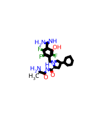 C[C@H](N)C(=O)NC(=O)[C@@H]1CC(C2CCCCC2)CN1Cc1c(F)c(O)c(C(=N)N)c(F)c1F